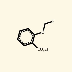 CCOC(=O)c1ccccc1OCF